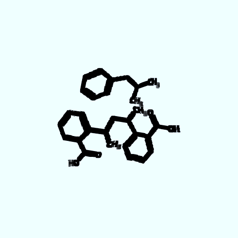 CC(C)Cc1ccccc1.CC(CC(C)c1ccccc1C(=O)O)c1ccccc1C(=O)O